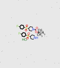 CC(C)(C)OC(=O)N1CCC(S(=O)(=O)c2ccc(F)cc2)CC1.Cl.O=S(=O)(c1ccc(F)cc1)C1CCNCC1